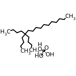 CCCCCCCCCCCC(CCCC)(CCCC)CCCC.O=P(O)(O)O